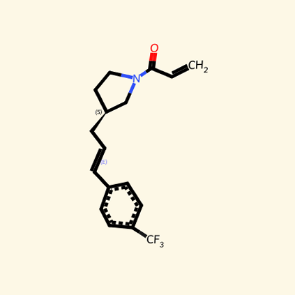 C=CC(=O)N1CC[C@H](C/C=C/c2ccc(C(F)(F)F)cc2)C1